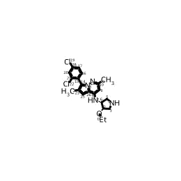 CCO[C@@H]1CNC[C@H]1Nc1cc(C)nn2c(-c3ccc(Cl)cc3Cl)c(C)cc12